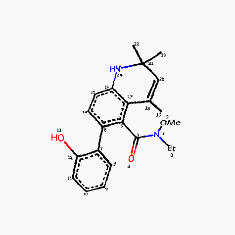 CCN(OC)C(=O)c1c(-c2ccccc2O)ccc2c1C(C)=CC(C)(C)N2